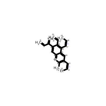 C=CC(=C)c1cc2nc(C)c(/C=C\CC)cc2c(/C=C\C)c1C=C